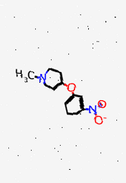 CN1CCC(OC2=CC[CH]C([N+](=O)[O-])=C2)CC1